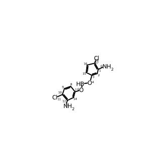 Nc1cc(OBOc2ccc(Cl)c(N)c2)ccc1Cl